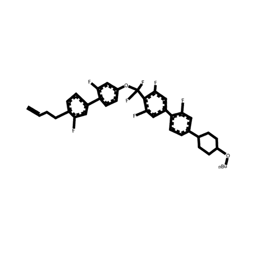 C=CCCc1ccc(-c2ccc(OC(F)(F)c3c(F)cc(-c4ccc(C5CCC(OCCCC)CC5)cc4F)cc3F)cc2F)cc1F